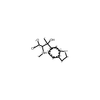 CNC(C(Cl)Cl)C(C)(O)c1ccc2c(c1)SCC2